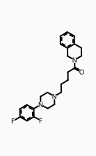 O=C(CCCCN1CCN(c2ccc(F)cc2F)CC1)N1CCc2ccccc2C1